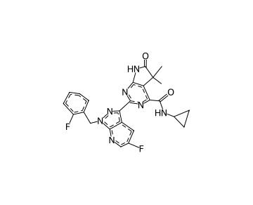 CC1(C)C(=O)Nc2nc(-c3nn(Cc4ccccc4F)c4ncc(F)cc34)nc(C(=O)NC3CC3)c21